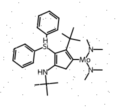 C[N](C)[Mo]([C]1=C(C(C)(C)C)C([SiH](c2ccccc2)c2ccccc2)=C(NC(C)(C)C)C1)[N](C)C